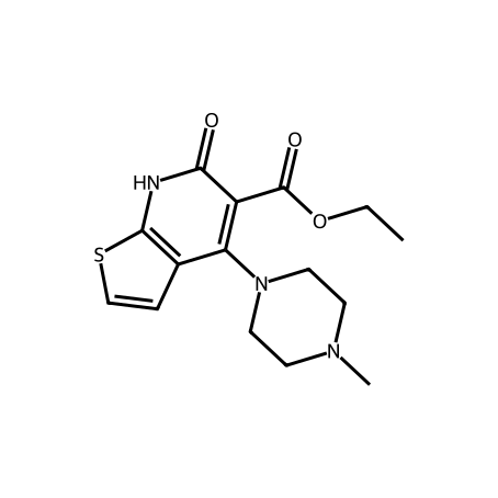 CCOC(=O)c1c(N2CCN(C)CC2)c2ccsc2[nH]c1=O